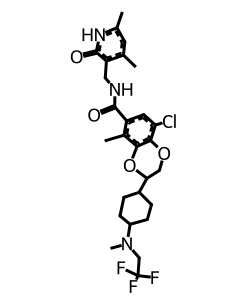 Cc1cc(C)c(CNC(=O)c2cc(Cl)c3c(c2C)OC(C2CCC(N(C)CC(F)(F)F)CC2)CO3)c(=O)[nH]1